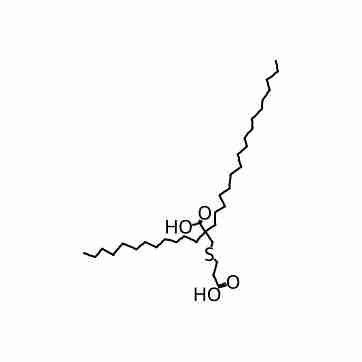 CCCCCCCCCCCCCCCCCCC(CCCCCCCCCCCC)(CSCCC(=O)O)C(=O)O